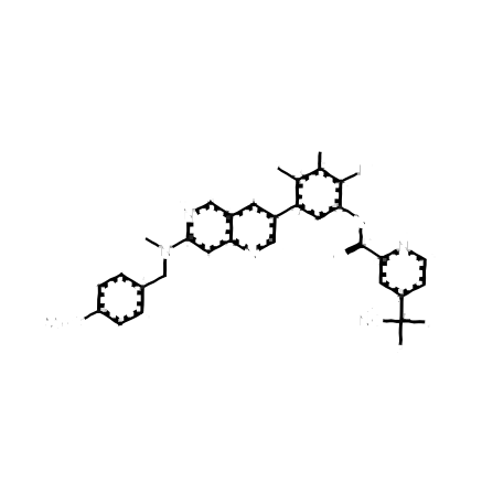 COc1ccc(CN(C)c2cc3ncc(-c4cc(NC(=O)c5cc(C(C)(C)C#N)ccn5)c(F)c(F)c4C)cc3cn2)cc1